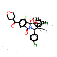 CO[C@]1(c2ccc(Cl)cc2)c2c(F)cc(C(=O)C3CCOCC3)cc2C(=O)N1[C@H](c1ccc(Cl)cc1)[C@H](C)C(C)=O